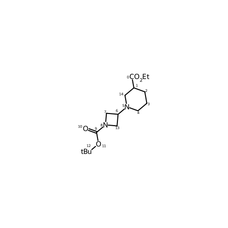 CCOC(=O)C1CCCN(C2CN(C(=O)OC(C)(C)C)C2)C1